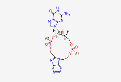 Nc1nc2c(ncn2[C@@H]2O[C@@H]3COP(=O)(S)OCCn4c(nc5cncnc54)COP(=O)(S)O[C@@H]2C3(F)F)c(=O)[nH]1